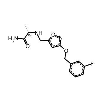 C[C@H](NCc1cc(OCc2cccc(F)c2)no1)C(N)=O